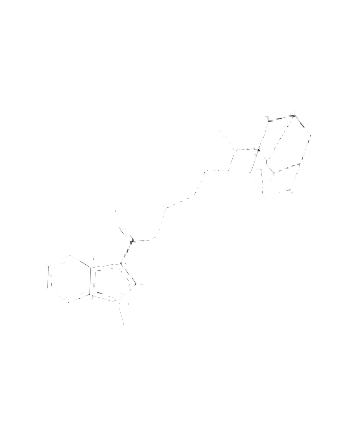 CN(CCCCCC(=O)c1cn(C)c2ccccc12)C12CC3CC(CC(C3)C1)C2